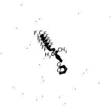 C[Si](C)(C#CCOC1CCCCO1)CCC(F)(F)C(F)(F)C(F)(F)C(F)(F)C(F)(F)C(F)(F)F